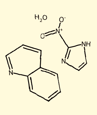 O.O=[N+]([O-])c1ncc[nH]1.c1ccc2ncccc2c1